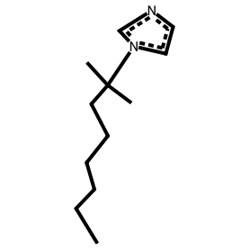 CCCCCCC(C)(C)n1ccnc1